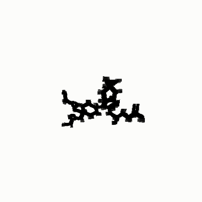 CCOCC1(COCC)CCC(c2c(CN(C)CCNC)nn3c2CC2(CC2)C3)CC1